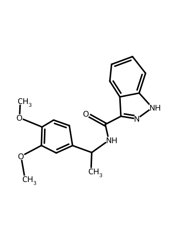 COc1ccc(C(C)NC(=O)c2n[nH]c3ccccc23)cc1OC